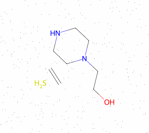 C=C.OCCN1CCNCC1.S